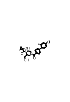 O=C(c1ccc(-c2ccc(Cl)cc2F)cc1)N1CCN(C(=O)C2(O)CC2)C(CO)C1